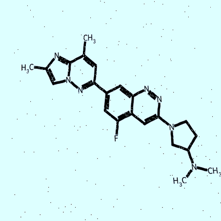 Cc1cn2nc(-c3cc(F)c4cc(N5CCC(N(C)C)C5)nnc4c3)cc(C)c2n1